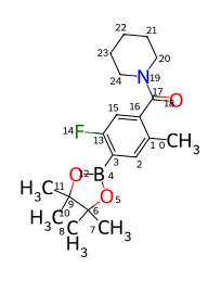 Cc1cc(B2OC(C)(C)C(C)(C)O2)c(F)cc1C(=O)N1CCCCC1